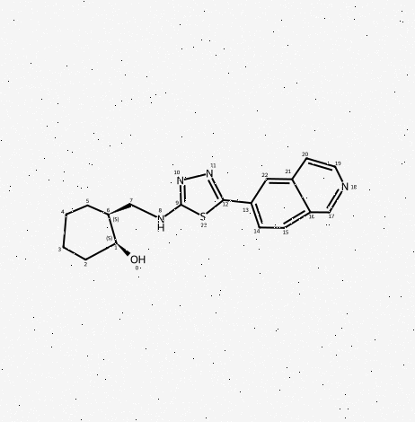 O[C@H]1CCCC[C@H]1CNc1nnc(-c2ccc3cnccc3c2)s1